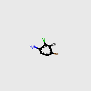 N#Cc1c(Br)ccc(N)c1Cl